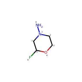 NN1CCOC(F)C1